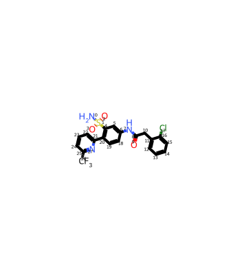 NS(=O)(=O)c1cc(NC(=O)Cc2ccccc2Cl)ccc1-c1cccc(C(F)(F)F)n1